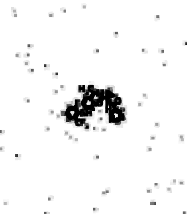 CC(NC(=O)C1(NC(=O)c2cncnc2)CC1)c1ccc(Nc2c(F)cccc2C(F)(F)F)cn1